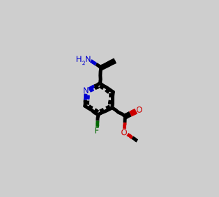 C=C(N)c1cc(C(=O)OC)c(F)cn1